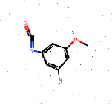 COc1cc(Cl)cc(N=C=O)c1